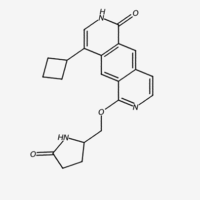 O=C1CCC(COc2nccc3cc4c(=O)[nH]cc(C5CCC5)c4cc23)N1